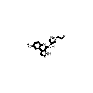 COc1ccc2nc(Nc3cnn(CCF)c3)c3[nH]ncc3c2c1